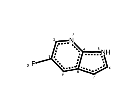 Fc1cnc2[nH]c[c]c2c1